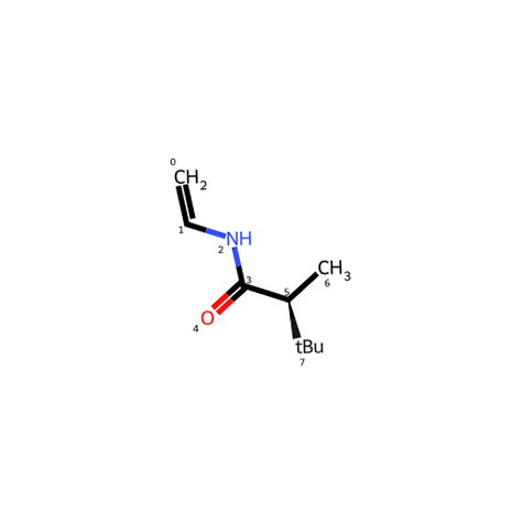 C=CNC(=O)[C@@H](C)C(C)(C)C